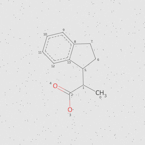 CC(C([O])=O)C1CCc2ccccc21